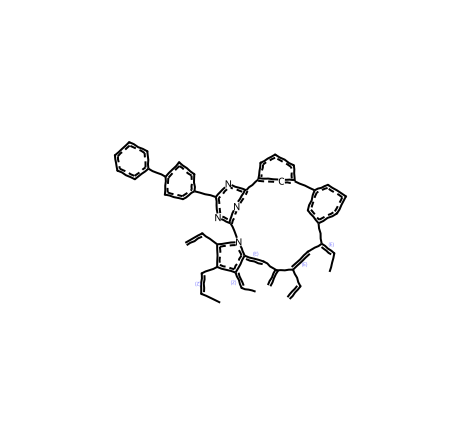 C=C/C1=C\C(=C/C)c2cccc(c2)-c2cccc(c2)-c2nc(-c3ccc(-c4ccccc4)cc3)nc(n2)-n2c(C=C)c(/C=C\C)c(=C/C)/c2=C\C1=C